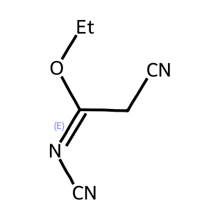 CCO/C(CC#N)=N/C#N